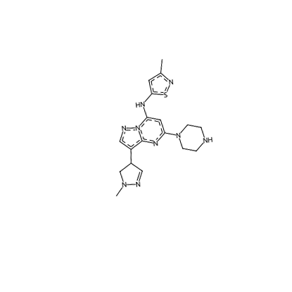 Cc1cc(Nc2cc(N3CCNCC3)nc3c(C4C=NN(C)C4)cnn23)sn1